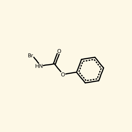 O=C(NBr)Oc1ccccc1